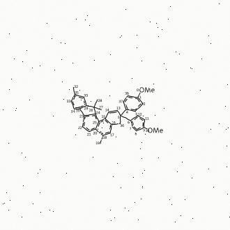 COc1ccc(C2(c3ccc(OC)cc3)C=Cc3c(cc(C)c4ccc5c(c34)C(C)(C)c3cc(C)ccc3-5)C2)cc1